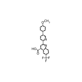 COc1ccc(-c2ccc(-c3cc(C(=O)O)c4cc(C(F)(F)F)ccc4n3)nc2)cc1